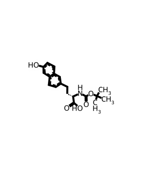 CC(C)(C)OC(=O)N[C@@H](CCc1ccc2cc(O)ccc2c1)C(=O)O